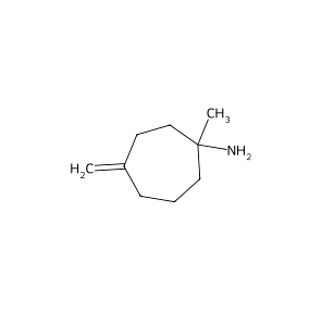 C=C1CCCC(C)(N)CC1